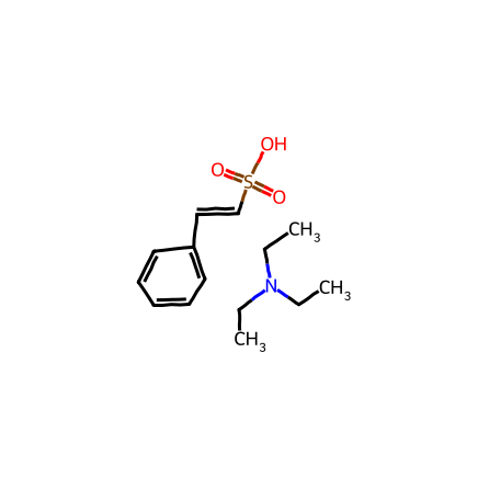 CCN(CC)CC.O=S(=O)(O)C=Cc1ccccc1